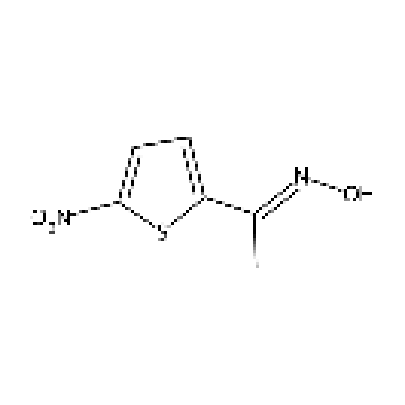 CC(=NO)c1ccc([N+](=O)[O-])s1